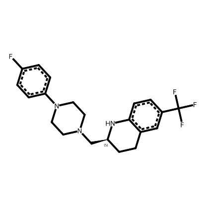 Fc1ccc(N2CCN(C[C@@H]3CCc4cc(C(F)(F)F)ccc4N3)CC2)cc1